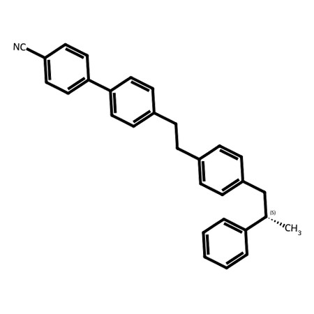 C[C@@H](Cc1ccc(CCc2ccc(-c3ccc(C#N)cc3)cc2)cc1)c1ccccc1